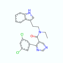 CCN(CCc1c[nH]c2ccccc12)C(=O)c1cncnc1-c1cc(Cl)cc(Cl)c1